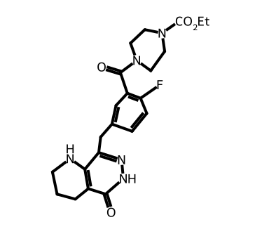 CCOC(=O)N1CCN(C(=O)c2cc(Cc3n[nH]c(=O)c4c3NCCC4)ccc2F)CC1